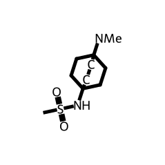 CNC12CCC(NS(C)(=O)=O)(CC1)CC2